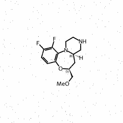 COC[C@@H]1C[C@@H]2CNCCN2c2c(ccc(F)c2F)O1